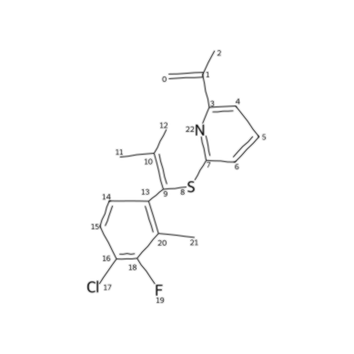 C=C(C)c1cccc(SC(=C(C)C)c2ccc(Cl)c(F)c2C)n1